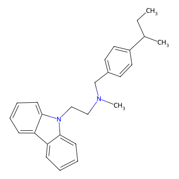 CCC(C)c1ccc(CN(C)CCn2c3ccccc3c3ccccc32)cc1